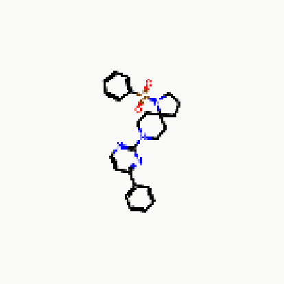 O=S(=O)(c1ccccc1)N1CCCC12CCN(c1nccc(-c3ccccc3)n1)CC2